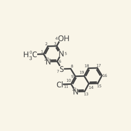 Cc1cc(O)nc(SCc2c(Cl)ncc3ccccc23)n1